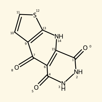 O=c1[nH][nH]c(=O)c2c(=O)c3ccsc3[nH]c12